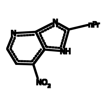 CCCc1nc2nccc([N+](=O)[O-])c2[nH]1